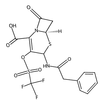 O=C(Cc1ccccc1)NC1S[C@@H]2CC(=O)N2C(C(=O)O)=C1OS(=O)(=O)C(F)(F)F